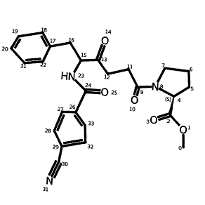 COC(=O)[C@@H]1CCCN1C(=O)CCC(=O)C(Cc1ccccc1)NC(=O)c1ccc(C#N)cc1